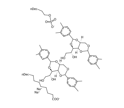 CCCCCCCCCCCCCCCCCC(=O)[O-].CCCCCCCCCCCCOS(=O)(=O)[O-].Cc1ccc(C2OC[C@@H]3OC(c4ccc(C)c(C)c4)O[C@H]([C@H](O)CO)[C@@H]3O2)cc1C.Cc1ccc(C2OC[C@@H]3OC(c4ccc(C)c(C)c4)O[C@H]([C@H](O)CO)[C@@H]3O2)cc1C.[Na+].[Na+]